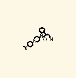 CC(C)[C@H]1CC[C@@H](N2CCC(N3C(=O)/C(=C\C#N)c4ccccc43)CC2)CC1